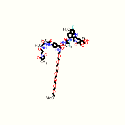 CC[C@@]1(O)C(=O)OCc2c1cc1n(c2=O)Cc2c-1nc1cc(F)c(C)c3c1c2[C@@H](NC(=O)C(C)(NC(=O)OC(C(=O)NCCOCCOCCOCCOCCOCCOCCOCCOC)c1ccc(NC(=O)[C@H](C)NC(=O)[C@H](C)NC(=O)CCN2C(=O)CC(C)C2=O)cc1)C(F)F)CC3